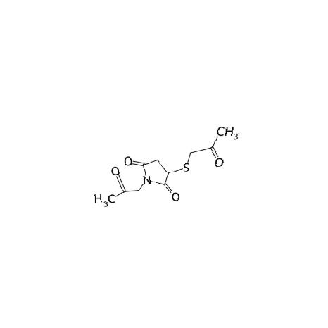 CC(=O)CSC1CC(=O)N(CC(C)=O)C1=O